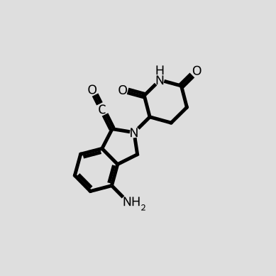 Nc1cccc2c1CN(C1CCC(=O)NC1=O)C2=C=O